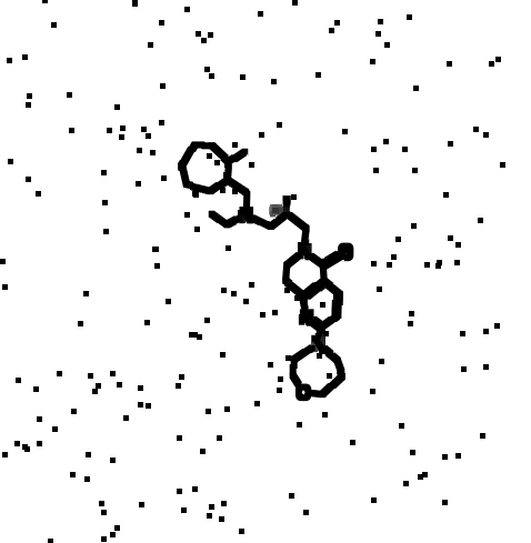 CCN(CC1CCCCCC1C)C[C@@H](C)CN1CCc2nc(N3CCCOCC3)ccc2C1=O